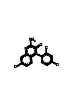 Nc1nc2cc(Cl)ccc2n(-c2ccc(Cl)cc2Cl)c1=O